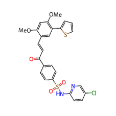 COc1cc(OC)c(-c2cccs2)cc1C=CC(=O)c1ccc(S(=O)(=O)Nc2ccc(Cl)cn2)cc1